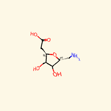 NC[C@H]1O[C@H](CC(=O)O)C(O)C1O